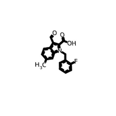 Cc1ccc2c(C=O)c(C(=O)O)n(Cc3ccccc3F)c2c1